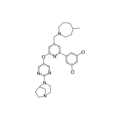 CC1CCCN(Cc2cc(Oc3cnc(N4CCN5CCC4C5)nc3)nc(-c3cc(Cl)cc(Cl)c3)c2)CC1